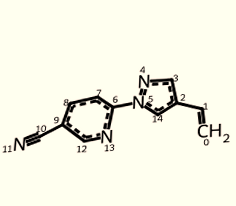 C=Cc1cnn(-c2ccc(C#N)cn2)c1